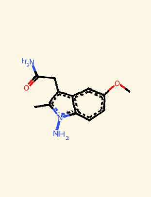 COc1ccc2c(c1)c(CC(N)=O)c(C)n2N